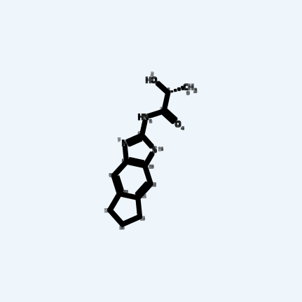 C[C@@H](O)C(=O)Nc1nc2cc3c(cc2s1)CCC3